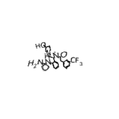 CN(C(=O)Cc1cccc(C(F)(F)F)c1)C(CN1CCC(O)C1)c1ccccc1NC(N)=O